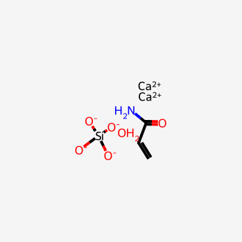 C=CC(N)=O.O.[Ca+2].[Ca+2].[O-][Si]([O-])([O-])[O-]